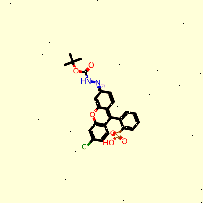 CC(C)(C)OC(=O)N/N=c1/ccc2c(-c3ccccc3S(=O)(=O)O)c3ccc(Cl)cc3oc-2c1